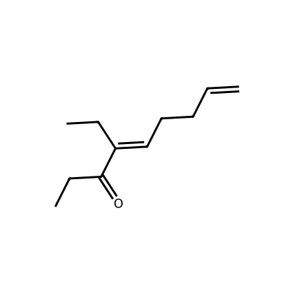 C=CCC/C=C(\CC)C(=O)CC